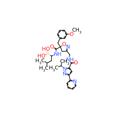 COc1cccc(CC2(C(=O)NC(CC(C)C)B(O)O)CC(CNC(=O)c3cc(-c4ccccn4)nn3C(C)C)=NO2)c1